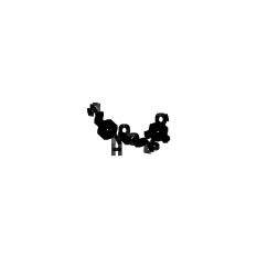 COc1cc(C)c(SN(C)CCOCC(=O)Nc2ccc(CCN(C)C)cc2)c(C)c1